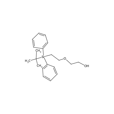 CC(C)(C)[Si](CCOCCO)(c1ccccc1)c1ccccc1